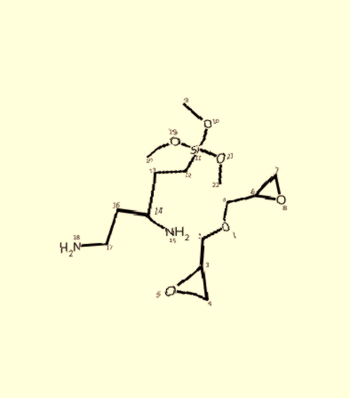 C(OCC1CO1)C1CO1.CO[Si](CCC(N)CCN)(OC)OC